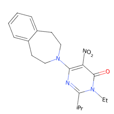 CCn1c(C(C)C)nc(N2CCc3ccccc3CC2)c([N+](=O)[O-])c1=O